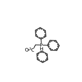 O=[3CH]C[PH](c1ccccc1)(c1ccccc1)c1ccccc1